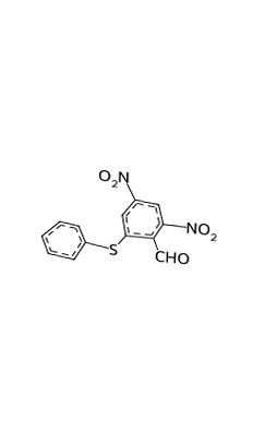 O=Cc1c(Sc2ccccc2)cc([N+](=O)[O-])cc1[N+](=O)[O-]